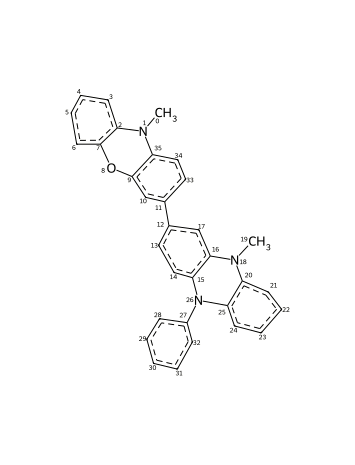 CN1c2ccccc2Oc2cc(-c3ccc4c(c3)N(C)c3ccccc3N4c3ccccc3)ccc21